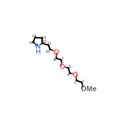 COCCOCCOCCOCCC1CCCN1